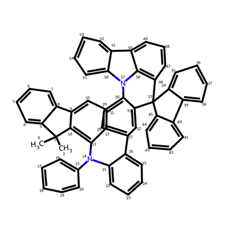 CC1(C)c2ccccc2-c2cccc(N(c3ccccc3)c3ccccc3-c3ccc4c(c3)C3(c5ccccc5-c5ccccc53)c3cccc5c6ccccc6n-4c35)c21